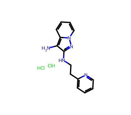 Cl.Cl.Nc1c(NCCc2ccccn2)nn2ccccc12